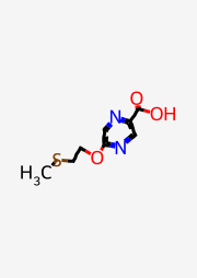 CSCCOc1cnc(C(=O)O)cn1